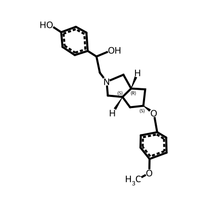 COc1ccc(O[C@H]2C[C@@H]3CN(CC(O)c4ccc(O)cc4)C[C@@H]3C2)cc1